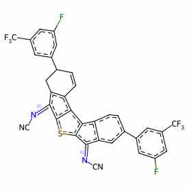 N#C/N=c1/c2c(c3c1sc1/c(=N/C#N)c4cc(-c5cc(F)cc(C(F)(F)F)c5)ccc4c13)C=CC(c1cc(F)cc(C(F)(F)F)c1)C2